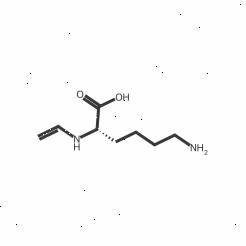 C=CN[C@@H](CCCCN)C(=O)O